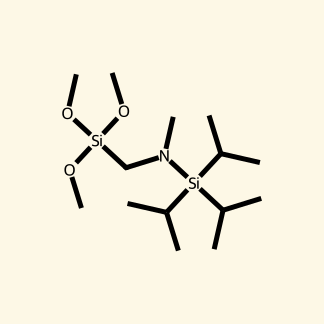 CO[Si](CN(C)[Si](C(C)C)(C(C)C)C(C)C)(OC)OC